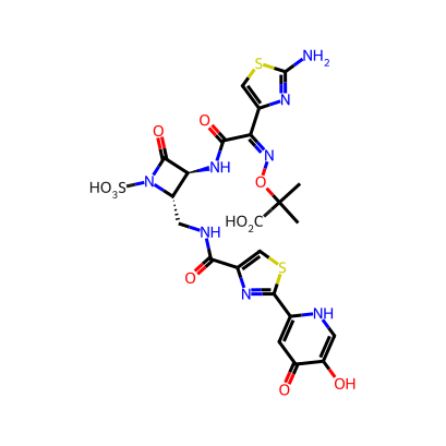 CC(C)(ON=C(C(=O)N[C@@H]1C(=O)N(S(=O)(=O)O)[C@H]1CNC(=O)c1csc(-c2cc(=O)c(O)c[nH]2)n1)c1csc(N)n1)C(=O)O